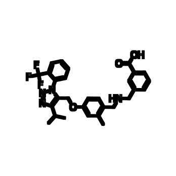 Cc1cc(OCc2c(C(C)C)nnn2-c2ccccc2C(F)(F)F)ccc1CNCc1cccc(C(=O)O)c1